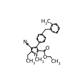 CCOC(=O)c1c(-c2ccc(Cc3ccccc3C)cc2)c(C#N)c(CC)n1C